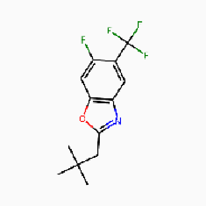 CC(C)(C)Cc1nc2cc(C(F)(F)F)c(F)cc2o1